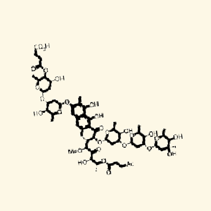 CO[C@H](C(=O)[C@@H](O)[C@@H](C)OC(=O)CCC(C)=O)[C@@H]1Cc2cc3cc(O[C@H]4C[C@@H](O[C@H]5C[C@@H](O)[C@H](OC(=O)CCC(=O)O)C(C)O5)[C@H](O)C(C)O4)c(C)c(O)c3c(O)c2C(=O)[C@H]1O[C@H]1C[C@@H](O[C@H]2C[C@@H](O[C@H]3C[C@](C)(O)[C@H](O)C(C)O3)[C@@H](O)C(C)O2)[C@H](O)C(C)O1